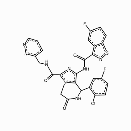 O=C1Cn2c(C(=O)NCc3cccnn3)nc(NC(=O)c3nsc4ccc(F)cc34)c2C(c2cc(F)ccc2Cl)N1